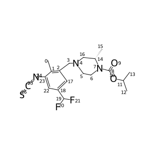 Cc1c(CN2CCN(C(=O)OC(C)C)[C@@H](C)C2)cc(C(F)F)cc1N=C=S